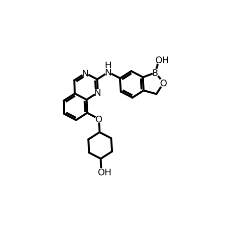 OB1OCc2ccc(Nc3ncc4cccc(OC5CCC(O)CC5)c4n3)cc21